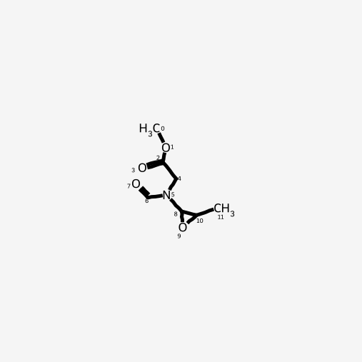 COC(=O)CN(C=O)C1OC1C